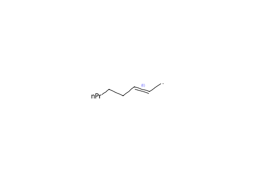 [CH]CCCC/C=C/[CH2]